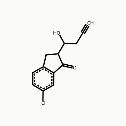 C#CCC(O)C1Cc2ccc(Cl)cc2C1=O